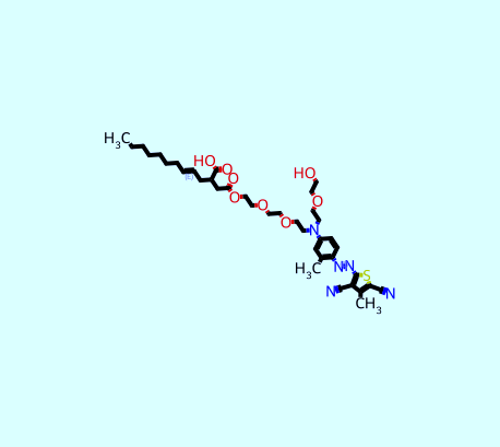 CCCCCCC/C=C/CC(CC(=O)OCCOCCOCCN(CCOCCO)c1ccc(/N=N/c2sc(C#N)c(C)c2C#N)c(C)c1)C(=O)O